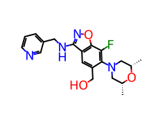 C[C@@H]1CN(c2c(CO)cc3c(NCc4cccnc4)noc3c2F)C[C@H](C)O1